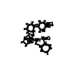 COc1ccccc1CNC1(Cc2ccccc2-c2cccnc2)CN2CCC1CC2.Cl.Cl